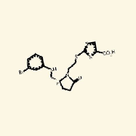 O=C(O)c1csc(SCCN2C(=O)CC[C@@H]2CNc2cccc(Br)c2)n1